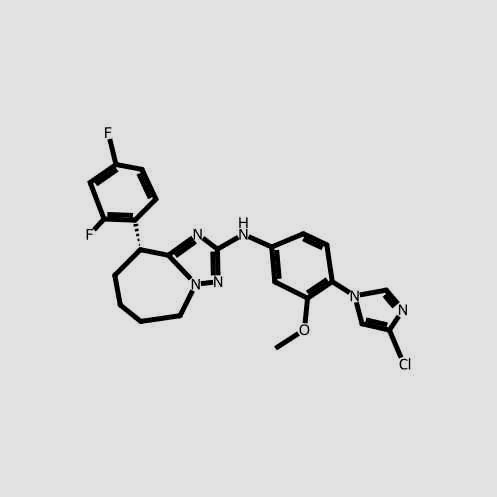 COc1cc(Nc2nc3n(n2)CCCC[C@@H]3c2ccc(F)cc2F)ccc1-n1cnc(Cl)c1